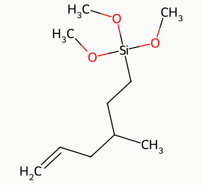 C=CCC(C)CC[Si](OC)(OC)OC